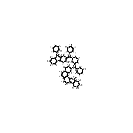 c1ccc(N(c2cccc(N(c3ccccc3)c3ccc4c5ccccc5n(-c5ccccc5)c4c3)c2)c2ccc3ccc4ccc5c6ccccc6[se]c5c4c3c2)cc1